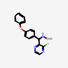 O=CNC(c1ccc(Oc2ccccc2)cc1)c1nccnc1Cl